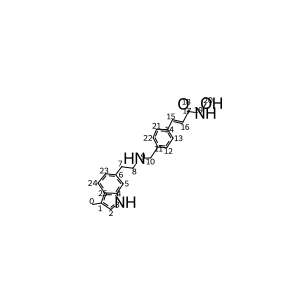 Cc1c[nH]c2cc(CCNCc3ccc(/C=C/C(=O)NO)cc3)ccc12